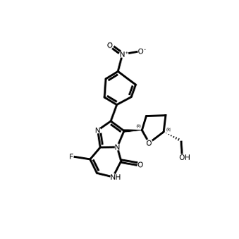 O=c1[nH]cc(F)c2nc(-c3ccc([N+](=O)[O-])cc3)c([C@H]3CC[C@H](CO)O3)n12